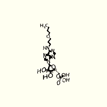 CCCCOCCCNc1ncnc2c1ncn2C1O[C@H](COP(=O)(O)O)[C@@H](O)[C@H]1O